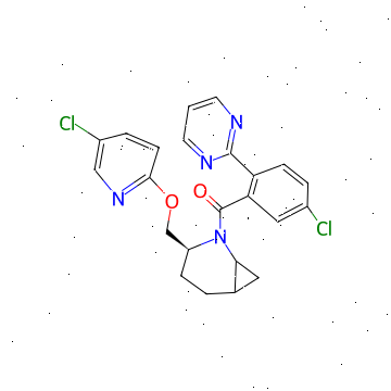 O=C(c1cc(Cl)ccc1-c1ncccn1)N1C2CC2CC[C@H]1COc1ccc(Cl)cn1